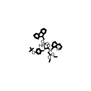 CCOC(CN(Cc1cccc2cccnc12)C(=O)[C@H](Cc1ccc(OC(C)(C)C)cc1)NC(=O)OCC1c2ccccc2-c2ccccc21)OCC